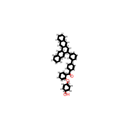 O=C(c1ccc(-c2cccc(-c3cc4cc5ccccc5cc4c4cc5ccccc5cc34)c2)cc1)c1ccccc1Oc1ccc(O)cc1